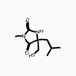 CC(C)CC1(CS)NC(=O)N(C)C1=O